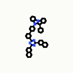 c1ccc(-c2c3ccccc3n3c4ccccc4n(-c4ccc(-c5cccc(-c6nc(-c7ccc8ccccc8c7)nc(-c7ccc8ccccc8c7)n6)c5)cc4)c23)cc1